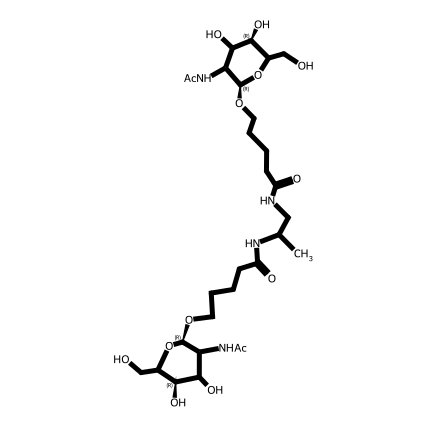 CC(=O)NC1C(O)[C@@H](O)C(CO)O[C@H]1OCCCCC(=O)NCC(C)NC(=O)CCCCO[C@@H]1OC(CO)[C@H](O)C(O)C1NC(C)=O